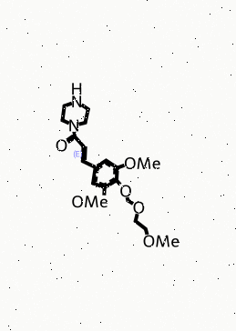 COCCOCOc1c(OC)cc(/C=C/C(=O)N2CCNCC2)cc1OC